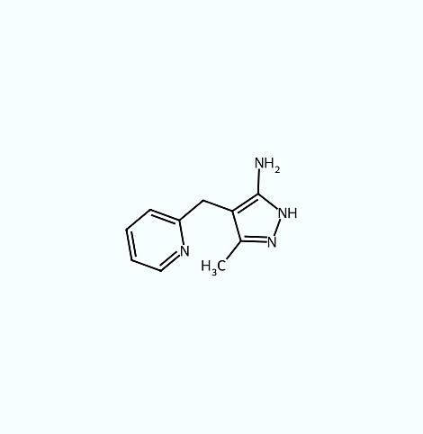 Cc1n[nH]c(N)c1Cc1ccccn1